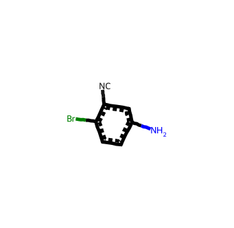 [C-]#[N+]c1cc(N)ccc1Br